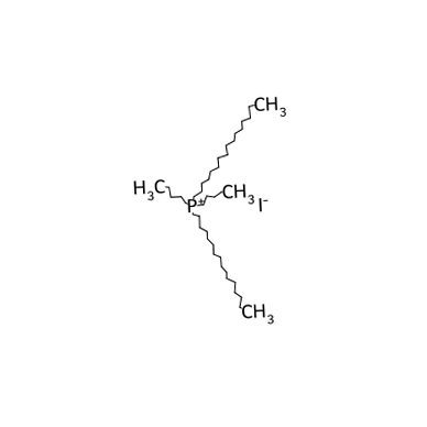 CCCCCCCCCCCCCCCC[P+](CCCCC)(CCCCC)CCCCCCCCCCCCCCCC.[I-]